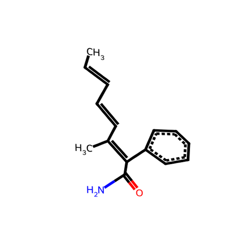 CC=CC=CC(C)=C(C(N)=O)c1ccccc1